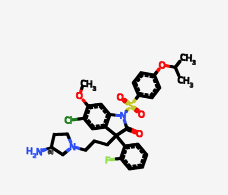 COc1cc2c(cc1Cl)C(CCCN1CC[C@H](N)C1)(c1ccccc1F)C(=O)N2S(=O)(=O)c1ccc(OC(C)C)cc1